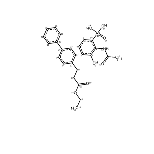 CC(=O)Nc1c(O)cccc1[As](=O)(O)O.CCOC(=O)CCc1ccc(-c2ccccc2)cc1